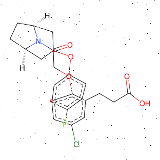 O=C(O)CCc1cc(Cl)ccc1OCC(=O)N1[C@@H]2CC[C@H]1CC(Oc1ccc(F)cc1)C2